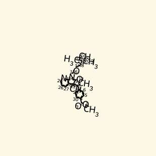 COC(=O)c1ccc(C(C)[C@]2(C)C(=O)N(COCC[Si](C)(C)C)c3ncccc32)cc1